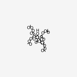 CC(=O)OCOC(=O)CN(CC(=O)OCOC(C)=O)c1cc2c(cc1O)C1(OC2=O)c2ccc(OCOC(C)=O)cc2Oc2cc(OCOC(C)=O)ccc21